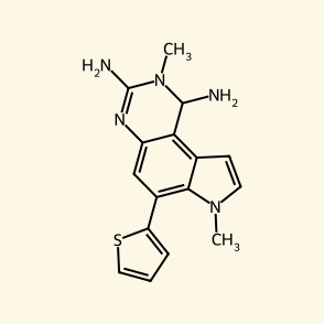 CN1C(N)=Nc2cc(-c3cccs3)c3c(ccn3C)c2C1N